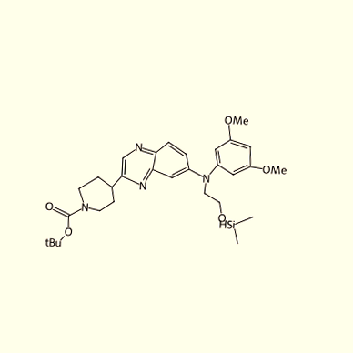 COc1cc(OC)cc(N(CCO[SiH](C)C)c2ccc3ncc(C4CCN(C(=O)OC(C)(C)C)CC4)nc3c2)c1